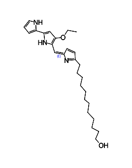 CCOc1cc(-c2ccc[nH]2)[nH]c1/C=C1\C=CC(CCCCCCCCCCCCO)=N1